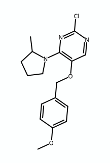 COc1ccc(COc2cnc(Cl)nc2N2CCCC2C)cc1